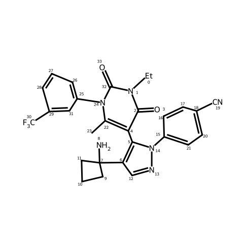 CCn1c(=O)c(-c2c(C3(N)CCC3)cnn2-c2ccc(C#N)cc2)c(C)n(-c2cccc(C(F)(F)F)c2)c1=O